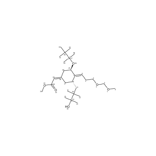 COCOCC/C=C1\[C@H](CC(C)(C)[Si](C)(C)O)C/C(=C\C(=O)OC)C[C@H]1O[Si](C)(C)C(C)(C)C